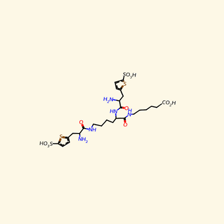 NC(Cc1ccc(S(=O)(=O)O)s1)C(=O)NCCCCC(NC(=O)C(N)Cc1ccc(S(=O)(=O)O)s1)C(=O)NCCCCCC(=O)O